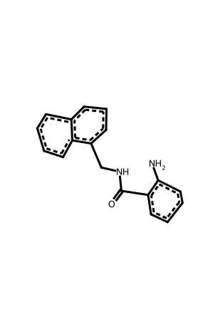 Nc1ccccc1C(=O)NCc1cccc2ccccc12